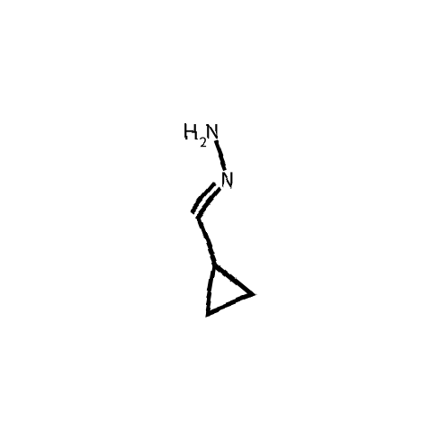 N/N=C/C1CC1